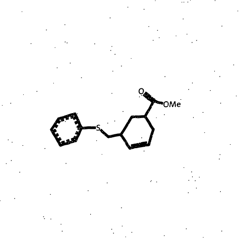 COC(=O)C1CC=CC(CSc2[c]cccc2)C1